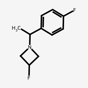 CC(c1ccc(F)cc1)N1CC(F)C1